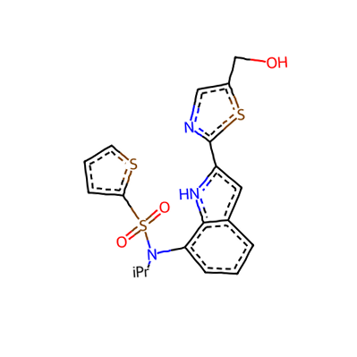 CC(C)N(c1cccc2cc(-c3ncc(CO)s3)[nH]c12)S(=O)(=O)c1cccs1